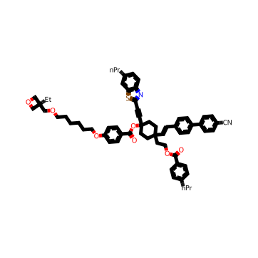 CCCc1ccc(C(=O)OCCC2(/C=C/c3ccc(-c4ccc(C#N)cc4)cc3)CCC(C#Cc3nc4ccc(CCC)cc4s3)(OC(=O)c3ccc(OCCCCCCOCC4(CC)COC4)cc3)CC2)cc1